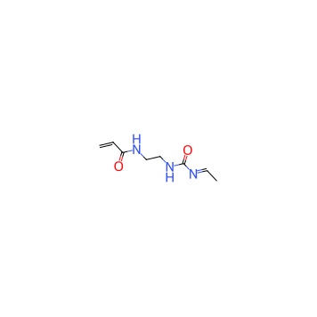 C=CC(=O)NCCNC(=O)N=CC